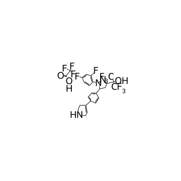 O=C(O)C(F)(F)F.OC(C1=NN(c2ccc(F)cc2F)C(c2ccc(C3=CCNCC3)cc2)C1)(C(F)(F)F)C(F)(F)F